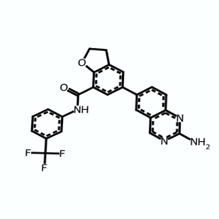 Nc1ncc2cc(-c3cc4c(c(C(=O)Nc5cccc(C(F)(F)F)c5)c3)OCC4)ccc2n1